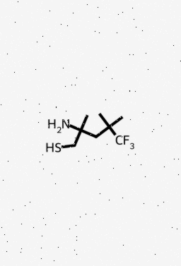 CC(N)(CS)CC(C)(C)C(F)(F)F